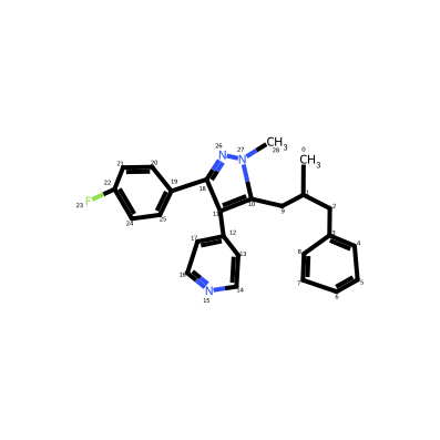 CC(Cc1ccccc1)Cc1c(-c2ccncc2)c(-c2ccc(F)cc2)nn1C